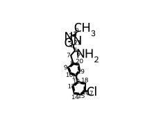 Cc1noc([C@H](N)Cc2ccc(-c3cccc(Cl)c3)cc2)n1